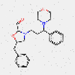 O=CC1OC(Cc2ccccc2)CN1CCC(c1ccccc1)N1CCOCC1